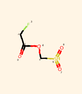 O=C(CF)OC[SH](=O)=O